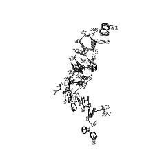 C=C(C)[C@@H]1CC[C@]2(C(=O)NCCN(CC)CCC(=O)OC)CC[C@]3(C)[C@H](CC[C@@H]4[C@@]5(C)CC=C(c6ccc(COOC)cc6)C(C)(C)[C@@H]5CC[C@]43C)[C@@H]12